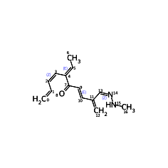 C=C/C=C\C(=C/C)C(=O)/C=C/C(=C)/C=N\NC